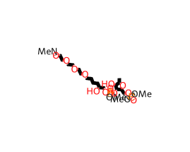 CNOCCOCCOCCOCCCCC(O)COP(=O)(OC)OC1C(COP(=O)(OC)OC)OC(C)C1O